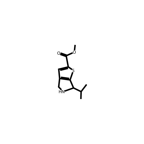 COC(=O)c1cc2c(s1)C(C(C)C)NC2